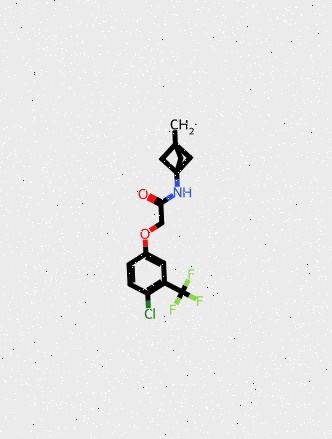 [CH2]C12CC(NC(=O)COc3ccc(Cl)c(C(F)(F)F)c3)(C1)C2